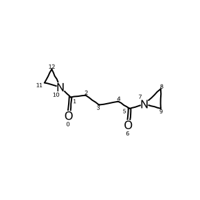 O=C(CCCC(=O)N1CC1)N1CC1